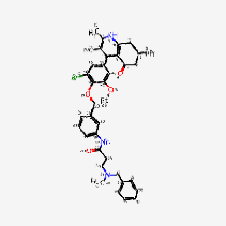 CCCC1CC(=O)C2=C(C1)NC(C)=C(C#N)C2c1cc(Br)c(OCc2cccc(NC(=O)CCN(C)Cc3ccccc3)c2)c(OCC)c1